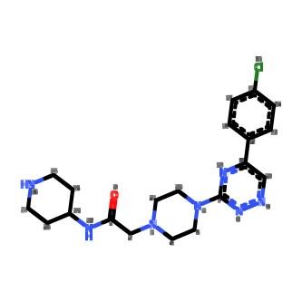 O=C(CN1CCN(c2nncc(-c3ccc(Cl)cc3)n2)CC1)NC1CCNCC1